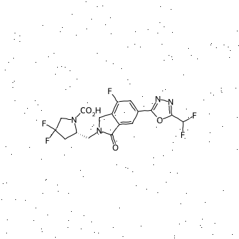 O=C1c2cc(-c3nnc(C(F)F)o3)cc(F)c2CN1C[C@@H]1CC(F)(F)CN1C(=O)O